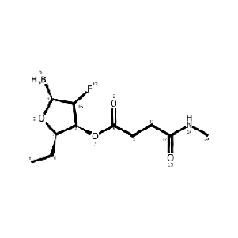 B[C@@H]1O[C@H](CC)[C@H](OC(=O)CCC(=O)NC)C1F